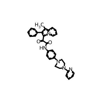 Cc1c(-c2ccccc2)c(C(=O)C(=O)Nc2ccc(N3CCN(c4ccccn4)CC3)cc2)n2ccccc12